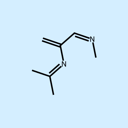 C=C(/C=N\C)N=C(C)C